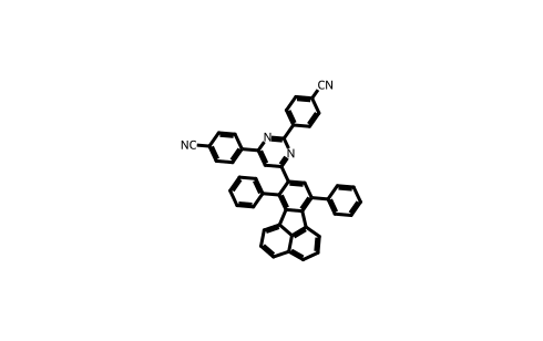 N#Cc1ccc(-c2cc(-c3cc(-c4ccccc4)c4c(c3-c3ccccc3)-c3cccc5cccc-4c35)nc(-c3ccc(C#N)cc3)n2)cc1